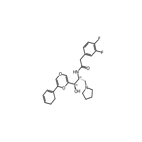 O=C(Cc1ccc(F)c(F)c1)N[C@H](CN1CCCC1)[C@@H](O)C1=COC=C(C2=CC=CCC2)O1